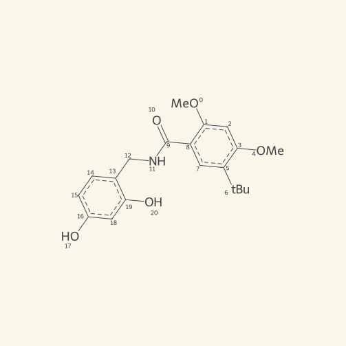 COc1cc(OC)c(C(C)(C)C)cc1C(=O)NCc1ccc(O)cc1O